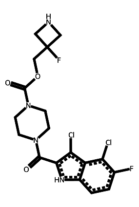 O=C(OCC1(F)CNC1)N1CCN(C(=O)c2[nH]c3ccc(F)c(Cl)c3c2Cl)CC1